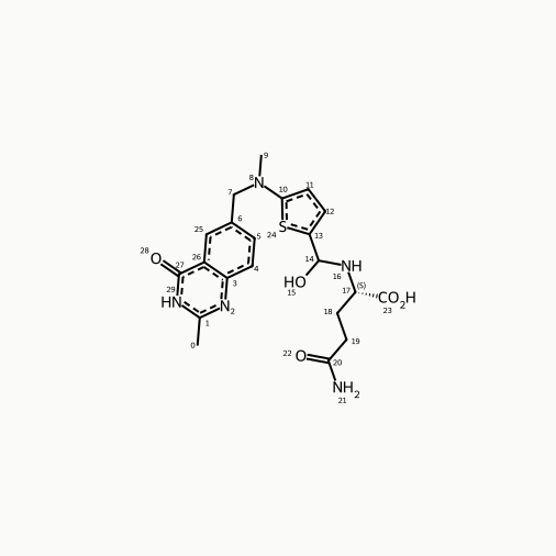 Cc1nc2ccc(CN(C)c3ccc(C(O)N[C@@H](CCC(N)=O)C(=O)O)s3)cc2c(=O)[nH]1